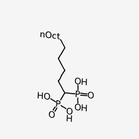 CCCCCCCCCCCCC(P(=O)(O)O)P(=O)(O)O